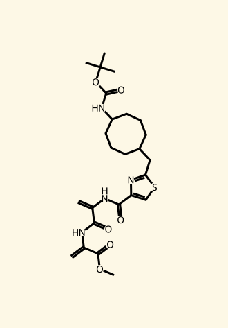 C=C(NC(=O)c1csc(CC2CCCC(NC(=O)OC(C)(C)C)CCC2)n1)C(=O)NC(=C)C(=O)OC